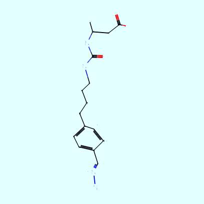 CC(CC(=O)O)NC(=O)NCCCCc1ccc(C=NN)cc1